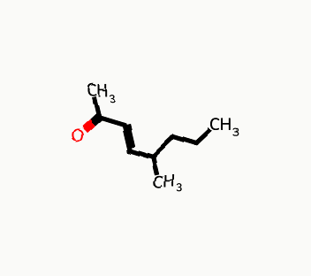 CCCC(C)/C=C/C(C)=O